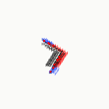 N.N.N.N.N.N.N.N.N.N.N.N.N.N.N.O=S(=O)(O)O.O=S(=O)(O)O.O=S(=O)(O)O.O=S(=O)(O)O.O=S(=O)(O)O.O=S(=O)(O)O.O=S(=O)(O)O.O=S(=O)(O)O.O=S(=O)(O)O.O=S(=O)(O)O.O=S(=O)(O)O.O=S(=O)(O)O.O=S(=O)(O)O.O=S(=O)(O)O.O=S(=O)(O)O.O=S(=O)(O)O.O=S(=O)(O)O.O=S(=O)(O)O.O=S(=O)(O)O.O=S(=O)(O)O